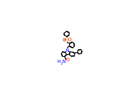 NC(=O)c1cccc2c1c1[c]cc(-c3ccccc3)cc1n2Cc1ccccc1CS(=O)(=O)c1ccccc1